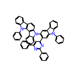 c1ccc(-c2cc(-c3cc4c(cc3-n3c5ccccc5c5c3ccc3c6ccccc6n(-c6ccccc6)c35)c3ccccc3n4-c3ccccc3)nc(-c3ccccc3)n2)cc1